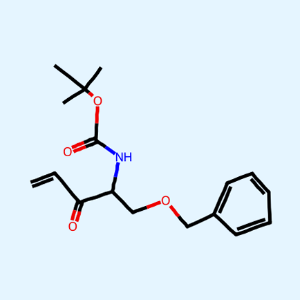 C=CC(=O)C(COCc1ccccc1)NC(=O)OC(C)(C)C